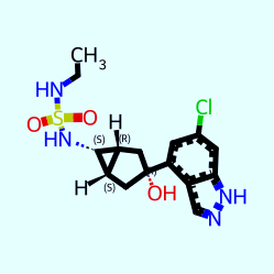 CCNS(=O)(=O)N[C@@H]1[C@@H]2C[C@@](O)(c3cc(Cl)cc4[nH]ncc34)C[C@@H]21